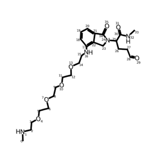 CNCCOCCOCCOCCOCCNc1cccc2c1CN(C(CCC=O)C(=O)NC)C2=O